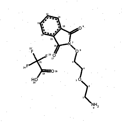 NCCOCCON1C(=O)c2ccccc2C1=O.O=C(O)C(F)(F)F